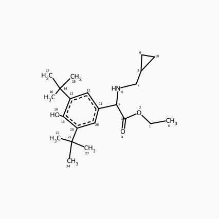 CCOC(=O)C(NCC1CC1)c1cc(C(C)(C)C)c(O)c(C(C)(C)C)c1